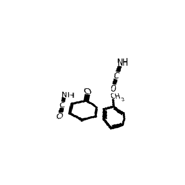 Cc1ccccc1.N=C=O.N=C=O.O=C1CCCCC1